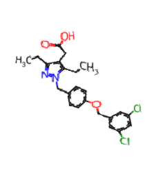 CCc1nn(Cc2ccc(OCc3cc(Cl)cc(Cl)c3)cc2)c(CC)c1CC(=O)O